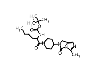 CCCCC(NC(=O)OC(C)(C)C)C(=O)N1CCC(N2Cc3cnc(C)n3C2=O)CC1